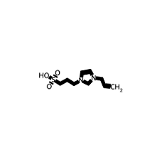 C=CCN1C=CN(CCCS(=O)(=O)O)C1